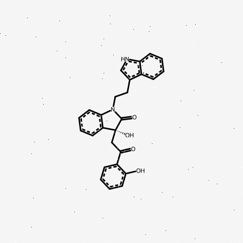 O=C(C[C@]1(O)C(=O)N(CCc2c[nH]c3ccccc23)c2ccccc21)c1ccccc1O